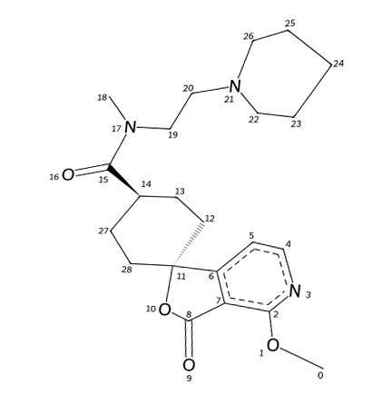 COc1nccc2c1C(=O)O[C@]21CC[C@H](C(=O)N(C)CCN2CCCCC2)CC1